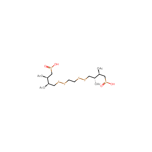 CC(=O)O[C@@H](CS(=O)O)[C@@H](CSSCCSSC[C@@H](OC(C)=O)[C@H](CS(=O)O)OC(C)=O)OC(C)=O